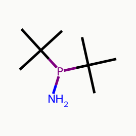 CC(C)(C)P(N)C(C)(C)C